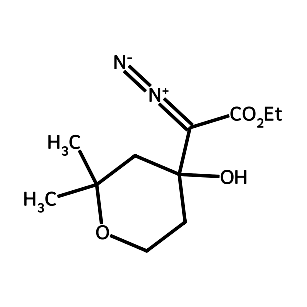 CCOC(=O)C(=[N+]=[N-])C1(O)CCOC(C)(C)C1